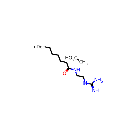 CC(=O)O.CCCCCCCCCCCCCCCC(=O)NCCNC(=N)N